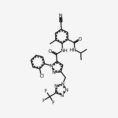 Cc1cc(C#N)cc(C(=O)NC(C)C)c1NC(=O)c1cc(Cn2nnc(C(F)(F)F)n2)nn1-c1ccccc1Cl